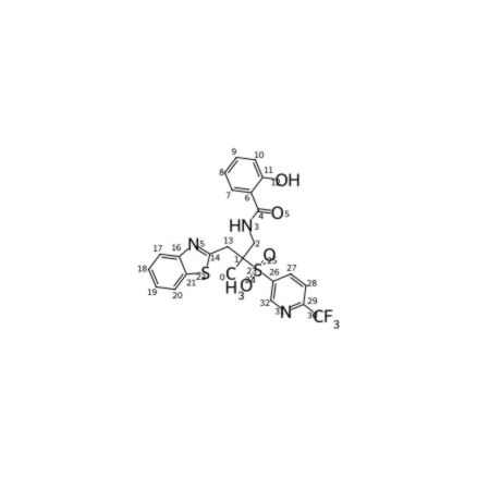 CC(CNC(=O)c1ccccc1O)(Cc1nc2ccccc2s1)S(=O)(=O)c1ccc(C(F)(F)F)nc1